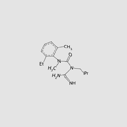 CCc1cccc(C)c1N(C)C(=O)N(CC(C)C)C(=N)N